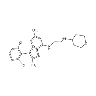 Cc1cc(NCCNC2CCOCC2)n2nc(C)c(-c3c(Cl)cccc3Cl)c2n1